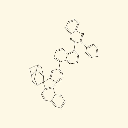 c1ccc(-c2nc3ccccc3nc2-c2cccc3c(-c4ccc5c(c4)C4(c6ccc7ccccc7c6-5)C5CC6CC(C5)CC4C6)cccc23)cc1